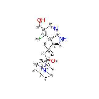 CC12CC3CC(C1)N(C(=O)CC(C)(C)c1c[nH]c4ncc(CO)c(F)c14)C(C3)C2